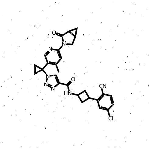 Cc1cc(N2CC3CC3C2=O)ncc1C1(n2cc(C(=O)NC3CC(c4cc(Cl)ccc4C#N)C3)nn2)CC1